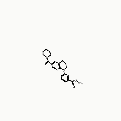 CC(C)(C)OC(=O)c1cccc(N2CCCc3cc(C(=O)N4CCCCC4)cnc32)c1